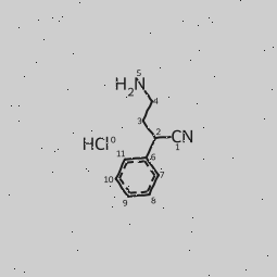 Cl.N#CC(CCN)c1ccccc1